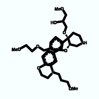 COCCCN1CCOc2ccc(CO[C@H]3CNCC[C@]3(OCC(O)COC)c3ccc(COCCOC)cc3)cc21